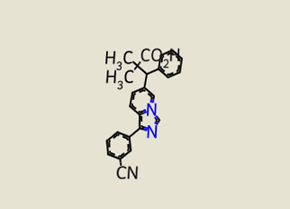 CC(C)(C(=O)O)C(c1ccccc1)c1ccc2c(-c3cccc(C#N)c3)ncn2c1